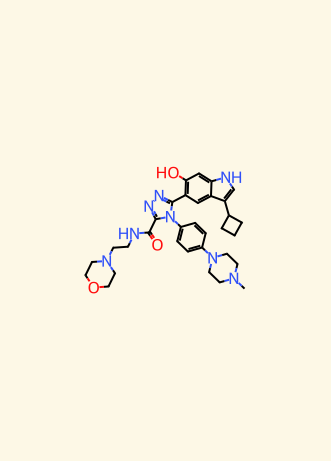 CN1CCN(c2ccc(-n3c(C(=O)NCCN4CCOCC4)nnc3-c3cc4c(C5CCC5)c[nH]c4cc3O)cc2)CC1